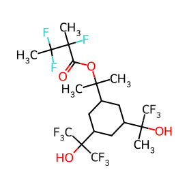 CC(C)(OC(=O)C(C)(F)C(C)(F)F)C1CC(C(C)(O)C(F)(F)F)CC(C(O)(C(F)(F)F)C(F)(F)F)C1